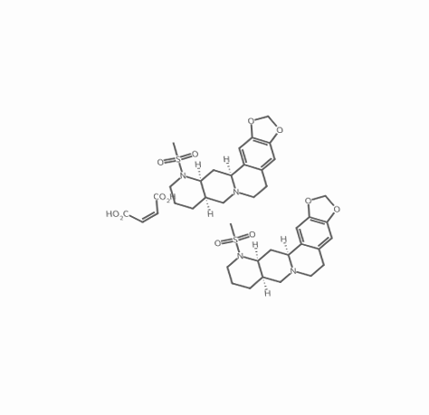 CS(=O)(=O)N1CCC[C@@H]2CN3CCc4cc5c(cc4[C@@H]3C[C@@H]21)OCO5.CS(=O)(=O)N1CCC[C@@H]2CN3CCc4cc5c(cc4[C@@H]3C[C@@H]21)OCO5.O=C(O)/C=C\C(=O)O